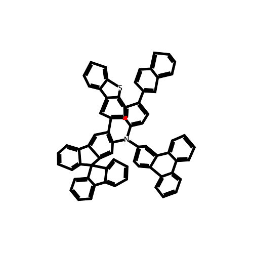 c1ccc2c(c1)-c1ccccc1C21c2ccccc2-c2cc(-c3ccc4sc5ccccc5c4c3)c(N(c3ccc(-c4ccc5ccccc5c4)cc3)c3ccc4c5ccccc5c5ccccc5c4c3)cc21